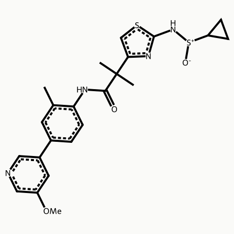 COc1cncc(-c2ccc(NC(=O)C(C)(C)c3csc(N[S+]([O-])C4CC4)n3)c(C)c2)c1